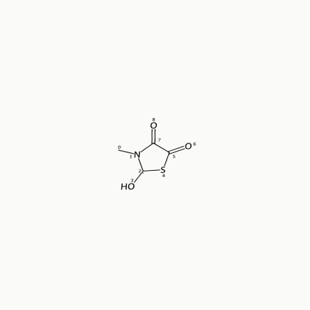 CN1[C](O)SC(=O)C1=O